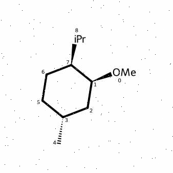 CO[C@H]1C[C@H](C)CC[C@H]1C(C)C